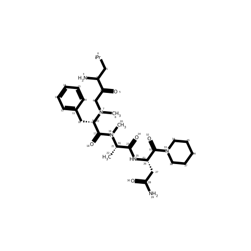 CC(C)CC(N)C(=O)CN(C)[C@@H](Cc1ccccc1)C(=O)N(C)[C@@H](C)C(=O)N[C@@H](CC(N)=O)C(=O)N1CCCCC1